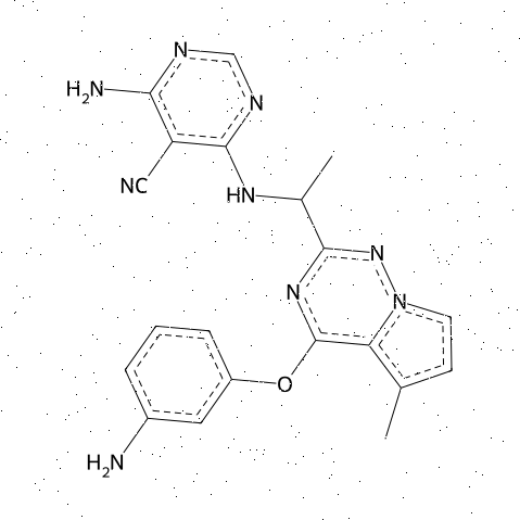 Cc1ccn2nc(C(C)Nc3ncnc(N)c3C#N)nc(Oc3cccc(N)c3)c12